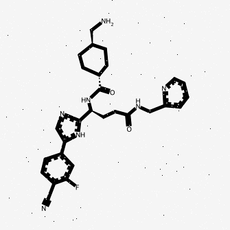 N#Cc1ccc(-c2cnc([C@H](CCC(=O)NCc3ccccn3)NC(=O)[C@H]3CC[C@H](CN)CC3)[nH]2)cc1F